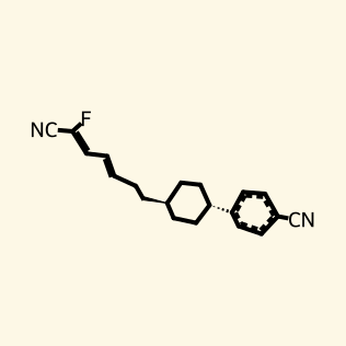 N#CC(F)=CC=CCC[C@H]1CC[C@H](c2ccc(C#N)cc2)CC1